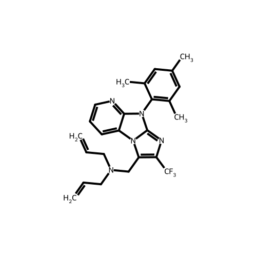 C=CCN(CC=C)Cc1c(C(F)(F)F)nc2n(-c3c(C)cc(C)cc3C)c3ncccc3n12